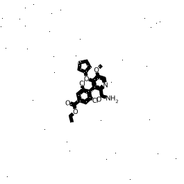 CCOC(=O)c1cc(Cl)c(-c2c(C(N)=O)ncc(OC)c2OC2CCCC2)c(Cl)c1